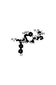 C=C([C@H](C)NC(=O)[C@@H]1Cc2ccc(O)c(c2)-c2cc(ccc2O)[C@H](N(C)C(=O)[C@H](CCCCN)NC(=O)c2ccc(-c3ccc(Cl)cc3)cc2)C(=O)N[C@@H](C)C(=O)N1)N1CCC[C@H]1C(=O)N[C@@H](C)C(N)=O